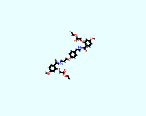 CCOC(=O)COc1cc(OC)ccc1C(=O)NCCCOc1ccc(CCNC(=O)c2ccc(OC)cc2OCC(=O)OCC)cc1